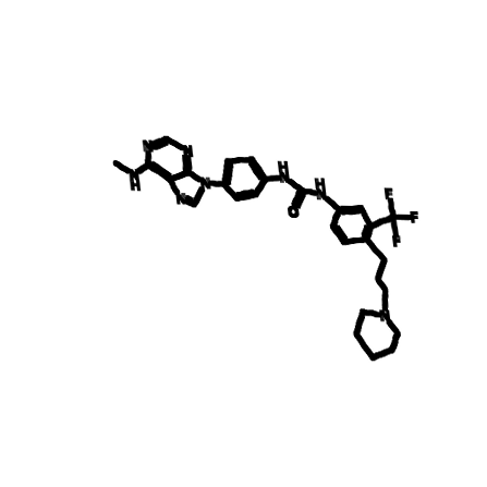 CNc1ncnc2c1ncn2-c1ccc(NC(=O)Nc2ccc(CCCN3CCCCC3)c(C(F)(F)F)c2)cc1